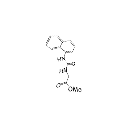 COC(=O)CNC(=O)Nc1cccc2ccccc12